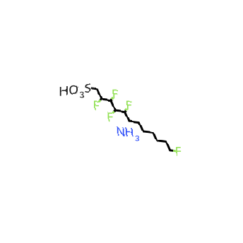 N.O=S(=O)(O)CC(F)C(F)C(F)C(F)CCCCCCCF